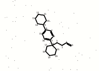 C=CCCC1(c2ccc(C3CCCCC3)cc2)CCCCC1